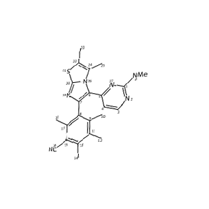 CNc1nccc(-c2c(-c3c(C)c(C)c(C)c(C#N)c3C)nc3sc(C)c(C)n23)n1